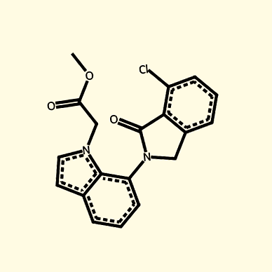 COC(=O)Cn1ccc2cccc(N3Cc4cccc(Cl)c4C3=O)c21